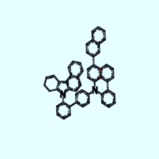 C1=Cc2c(n(-c3ccccc3-c3ccc(N(c4ccc(-c5ccc6ccccc6c5)cc4)c4ccccc4-c4ccccc4)cc3)c3ccc4ccccc4c23)CC1